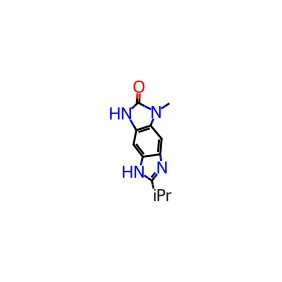 CC(C)c1nc2cc3c(cc2[nH]1)[nH]c(=O)n3C